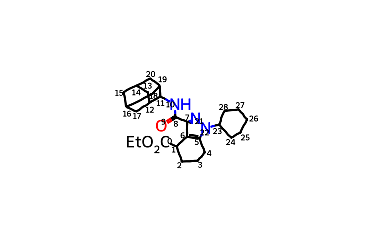 CCOC(=O)C1CCCc2c1c(C(=O)NC1C3CC4CC(C3)CC1C4)nn2C1CCCCC1